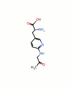 CC(=O)CNc1ccc(C[C@H](N)C(=O)O)cn1